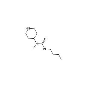 CCCCNC(=O)N(C)C1CCNCC1